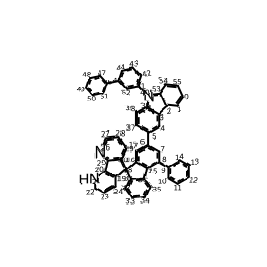 C1=CC2c3cc(-c4cc(-c5ccccc5)c5c(c4)C4(C6=C(NCC=C6)c6ncccc64)c4ccccc4-5)ccc3N(c3cccc(-c4ccccc4)c3)C2C=C1